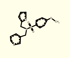 COc1ccc(S(=O)(=O)N(Cc2cccnc2)Cc2ccco2)cc1